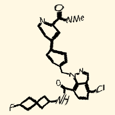 CNC(=O)c1cc(-c2ccc(Cn3ncc4c(Cl)ccc(C(=O)NC5CC6(CC(F)C6)C5)c43)cc2)ccn1